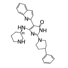 O=c1[nH]c(N2CCC(c3ccccc3)CC2)nc(N[C@@H]2CCCNC2)c1-c1ccc2ccccc2n1